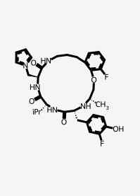 CC(C)[C@H]1NC(=O)[C@@H](Cc2ccc(O)c(F)c2)N[C@@H](C)COc2c(F)cccc2CCCNC(=O)[C@H](Cn2cccc2)NC1=O